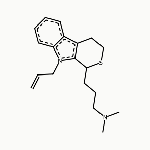 C=CCn1c2c(c3ccccc31)CCSC2CCCN(C)C